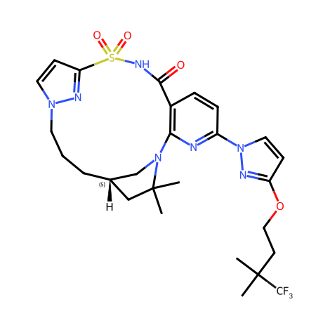 CC1(C)C[C@@H]2CCCn3ccc(n3)S(=O)(=O)NC(=O)c3ccc(-n4ccc(OCCC(C)(C)C(F)(F)F)n4)nc3N1C2